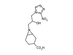 O=C(O)C1CCC2C(C1)N2CC(O)Cn1ccnc1[N+](=O)[O-]